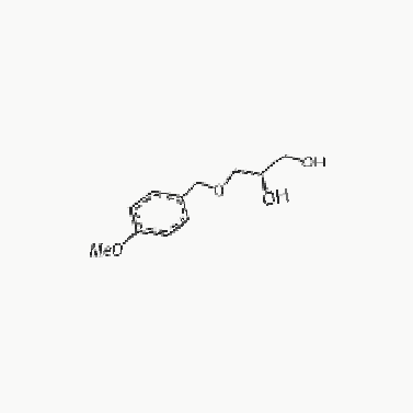 COc1ccc(COC[C@H](O)CO)cc1